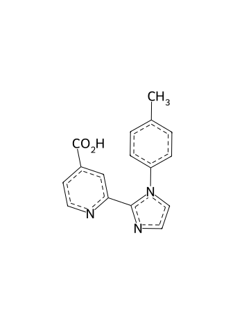 Cc1ccc(-n2ccnc2-c2cc(C(=O)O)ccn2)cc1